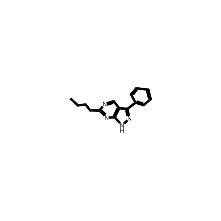 CCCCc1ncc2c(-c3ccccc3)n[nH]c2n1